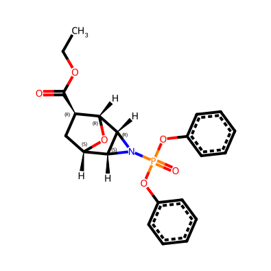 CCOC(=O)[C@@H]1C[C@@H]2O[C@H]1[C@H]1[C@@H]2N1P(=O)(Oc1ccccc1)Oc1ccccc1